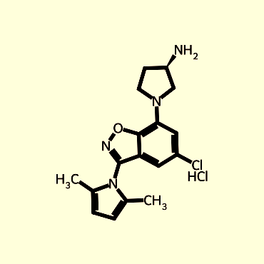 Cc1ccc(C)n1-c1noc2c(N3CC[C@@H](N)C3)cc(Cl)cc12.Cl